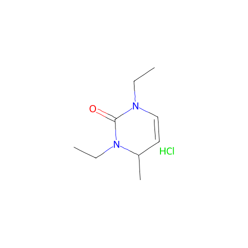 CCN1C=CC(C)N(CC)C1=O.Cl